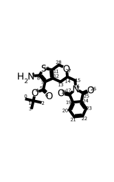 CC(C)(C)OC(=O)c1c(N)sc2c1CC(CN1C(=O)c3ccccc3C1=O)OC2